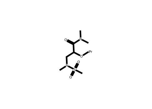 CC(C)OC(CN(C)S(C)(=O)=O)C(=O)N(C)C